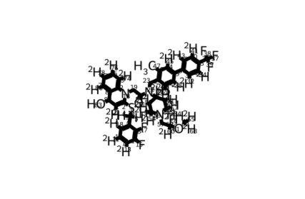 [2H]C1=C(SC([2H])([2H])c2c([2H])c([2H])c([2H])c(F)c2F)N(CC(=O)N(Cc2c([2H])c([2H])c(-c3c([2H])c([2H])c(C(F)(F)F)c([2H])c3[2H])c([2H])c2C)C2([2H])C([2H])([2H])C([2H])([2H])N(CC([2H])([2H])OC([2H])([2H])[2H])C([2H])([2H])C2([2H])[2H])c2c([2H])c([2H])c([2H])c([2H])c2C1O